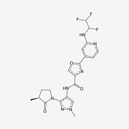 C[C@H]1CCN(c2nn(C)cc2NC(=O)c2coc(-c3ccnc(NC(F)C(F)F)c3)n2)C1=O